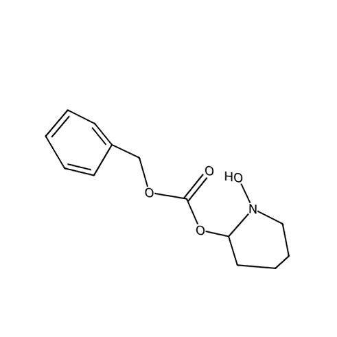 O=C(OCc1ccccc1)OC1CCCCN1O